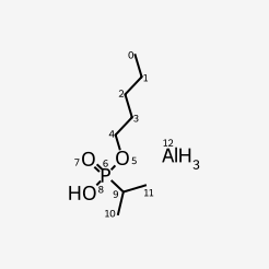 CCCCCOP(=O)(O)C(C)C.[AlH3]